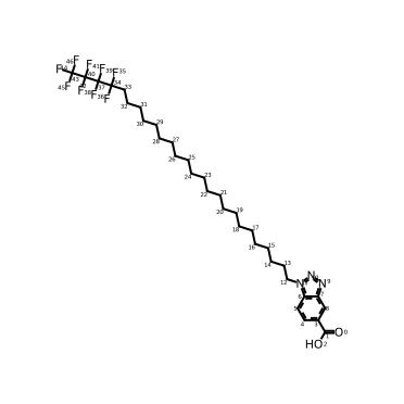 O=C(O)c1ccc2c(c1)nnn2CCCCCCCCCCCCCCCCCCCCCCC(F)(F)C(F)(F)C(F)(F)C(F)(F)F